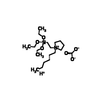 CCCCCC[N+]1(CC[Si](OCC)(OCC)OCC)CCCC1.O=C([O-])[O-].[H+]